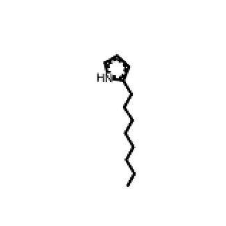 CCCCCCCCc1ccc[nH]1